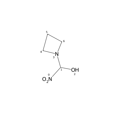 O=[N+]([O-])C(O)N1CCC1